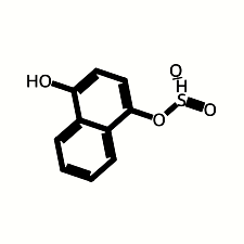 O=[SH](=O)Oc1ccc(O)c2ccccc12